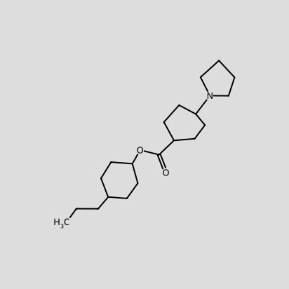 CCCC1CCC(OC(=O)C2CCC(N3CCCC3)CC2)CC1